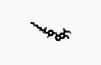 CCOCCCNC(=O)Nc1ccc(Oc2ccnc3cc(OC)c(C(N)=O)cc23)cc1F